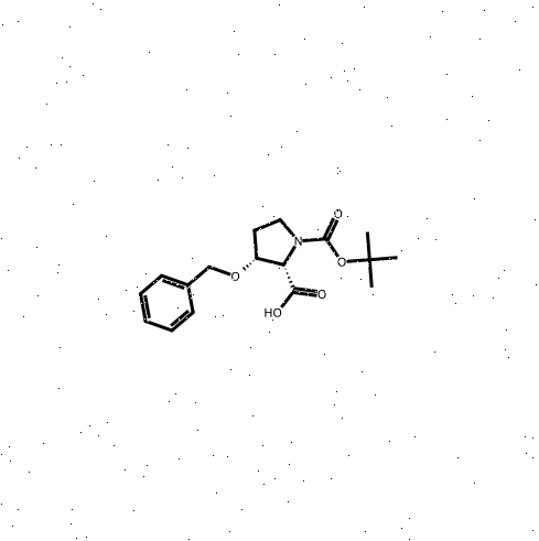 CC(C)(C)OC(=O)N1CC[C@@H](OCc2ccccc2)[C@H]1C(=O)O